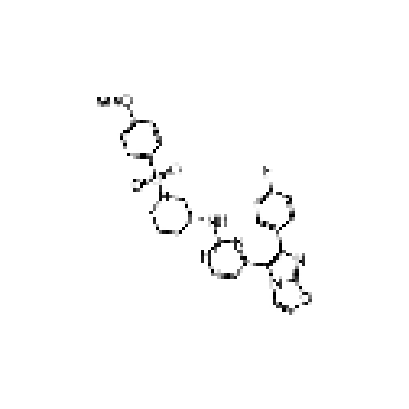 COc1ccc(S(=O)(=O)N2CCC[C@@H](Nc3nccc(-c4c(-c5ccc(F)cc5)nc5occn45)n3)C2)cc1